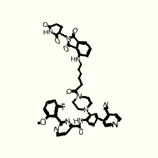 COc1cccc(F)c1-c1nccc(C(=O)Nc2ccc(-c3cnccc3C#N)cc2N2CCN(C(=O)CCCCCNc3cccc4c3C(=O)N(C3CCC(=O)NC3=O)C4=O)CC2)n1